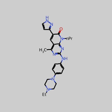 CCCn1c(=O)c(-c2cc[nH]n2)cc2c(C)nc(Nc3ccc(N4CCN(CC)CC4)cc3)nc21